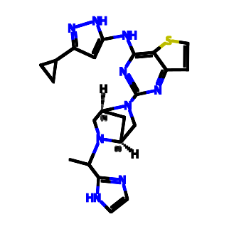 CC(c1ncc[nH]1)N1C[C@@H]2C[C@H]1CN2c1nc(Nc2cc(C3CC3)n[nH]2)c2sccc2n1